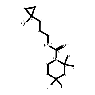 CC1(C)CC(F)(F)CCN1C(=O)NCCCC1(C(F)(F)F)CC1